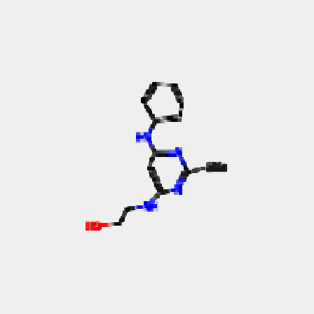 CSc1nc(NCCO)cc(Nc2ccccc2)n1